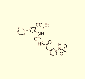 CCOC(=O)c1sc(-c2ccccc2)cc1NC(=O)CNC(=O)Cc1cccc(NS(C)(=O)=O)c1